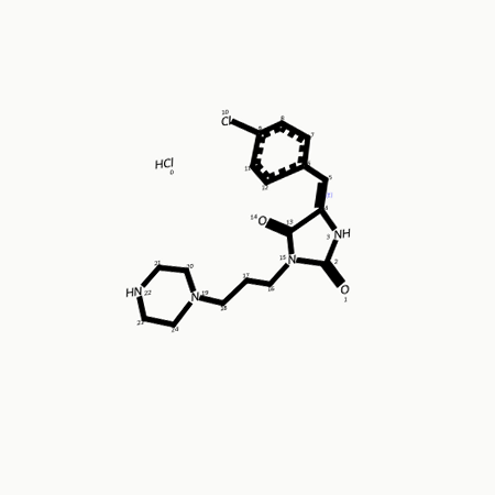 Cl.O=C1N/C(=C/c2ccc(Cl)cc2)C(=O)N1CCCN1CCNCC1